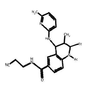 CCC1C(C)C(Nc2cccc(C)n2)c2cc(C(=O)NCCC#N)ccc2N1C(C)=O